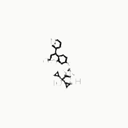 Cc1nc(Sc2ccc3c(-c4cccnc4)cc(=O)oc3c2)sc1C(O)(C1CC1)C1CC1